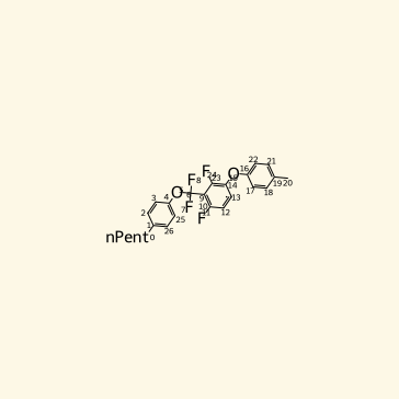 CCCCCc1ccc(OC(F)(F)c2c(F)c[c]c(Oc3ccc(C)cc3)c2F)cc1